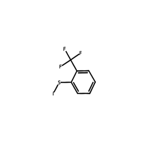 FC(F)(F)c1ccccc1SI